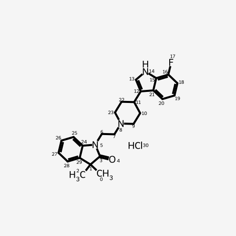 CC1(C)C(=O)N(CCN2CCC(c3c[nH]c4c(F)cccc34)CC2)c2ccccc21.Cl